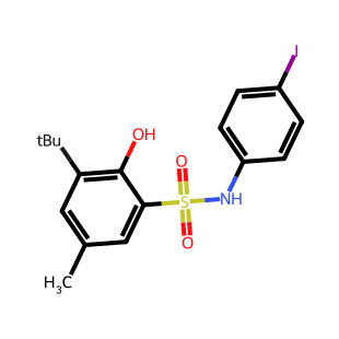 Cc1cc(C(C)(C)C)c(O)c(S(=O)(=O)Nc2ccc(I)cc2)c1